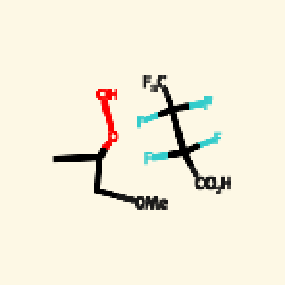 COCC(C)OO.O=C(O)C(F)(F)C(F)(F)C(F)(F)F